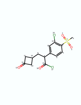 CS(=O)(=O)c1ccc(C(CC2CC(=O)C2)C(=O)Cl)cc1Cl